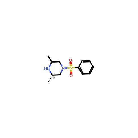 CC1CN(S(=O)(=O)c2ccccc2)C[C@H](C)N1